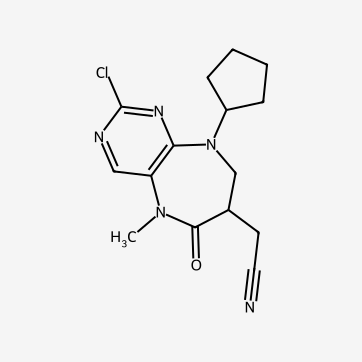 CN1C(=O)C(CC#N)CN(C2CCCC2)c2nc(Cl)ncc21